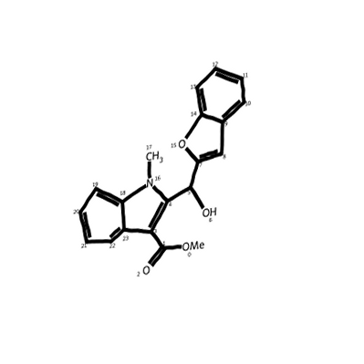 COC(=O)c1c(C(O)c2cc3ccccc3o2)n(C)c2ccccc12